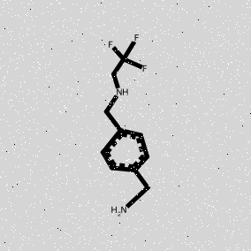 NCc1ccc(CNCC(F)(F)F)cc1